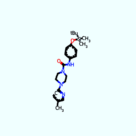 Cc1ccc(N2CCN(C(=O)Nc3ccc(O[Si](C)(C)C(C)(C)C)cc3)CC2)nc1